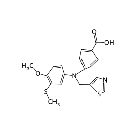 COc1ccc(N(Cc2cncs2)c2ccc(C(=O)O)cc2)cc1SC